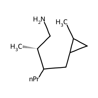 CCCC(CC1CC1C)[C@H](C)CN